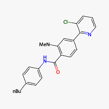 CCCCc1ccc(NC(=O)c2ccc(-c3ncccc3Cl)cc2NC)cc1